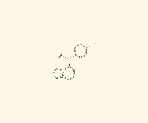 N#Cc1ccc(C(C(N)=O)c2cccc3cncn23)cc1